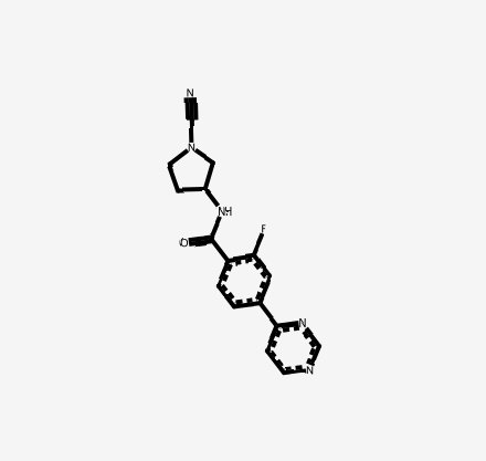 N#CN1CCC(NC(=O)c2ccc(-c3ccncn3)cc2F)C1